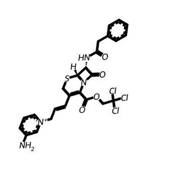 Nc1ccc[n+](C/C=C/C2=C(C(=O)OCC(Cl)(Cl)Cl)N3C(=O)[C@@H](NC(=O)Cc4ccccc4)[C@H]3SC2)c1